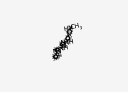 CNC1CCN(c2ccc(Nc3nccc(Nc4ccnc(-c5ccccc5F)n4)n3)cc2)CC1